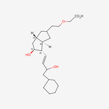 O=C(O)COCCC1C[C@H]2C[C@H](O)[C@@H](C=CC(O)CC3CCCCC3)[C@@H]2C1